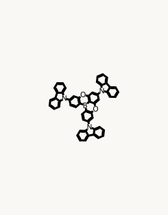 c1ccc2c(c1)c1ccccc1n2-c1ccc2c(c1)Oc1cc(-n3c4ccccc4c4ccccc43)cc3c1B2c1ccc(-n2c4ccccc4c4ccccc42)cc1O3